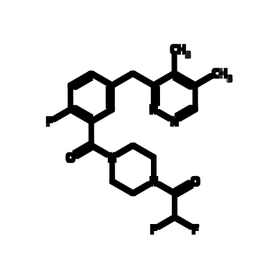 Cc1cnnc(Cc2ccc(F)c(C(=O)N3CCN(C(=O)C(F)F)CC3)c2)c1C